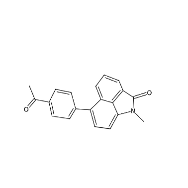 CC(=O)c1ccc(-c2ccc3c4c(cccc24)C(=O)N3C)cc1